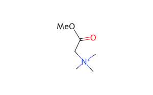 COC(=O)C[N+](C)(C)C